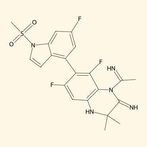 CC(=N)N1C(=N)C(C)(C)Nc2cc(F)c(-c3cc(F)cc4c3ccn4S(C)(=O)=O)c(F)c21